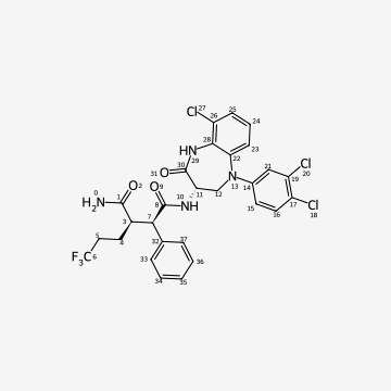 NC(=O)[C@H](CCC(F)(F)F)[C@@H](C(=O)N[C@H]1CN(c2ccc(Cl)c(Cl)c2)c2cccc(Cl)c2NC1=O)c1ccccc1